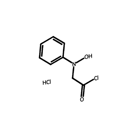 Cl.O=C(Cl)CN(O)c1ccccc1